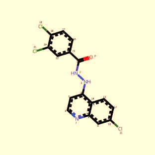 O=C(NNc1ccnc2cc(Cl)ccc12)c1ccc(Cl)c(Cl)c1